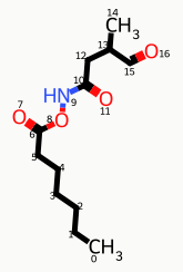 CCCCCCC(=O)ONC(=O)CC(C)C=O